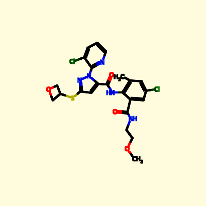 COCCNC(=O)c1cc(Cl)cc(C)c1NC(=O)c1cc(SC2COC2)nn1-c1ncccc1Cl